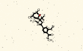 COC(=O)c1ccc(C2=NN(C)C(c3cc(Cl)cc(Cl)c3)(C(F)(F)F)C2)cc1CBr